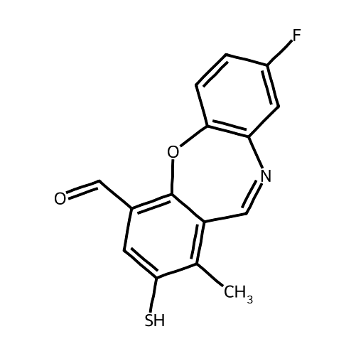 Cc1c(S)cc(C=O)c2c1C=Nc1cc(F)ccc1O2